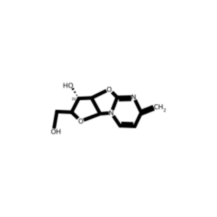 C=C1C=CN2C(=N1)OC1C2OC(CO)[C@@H]1O